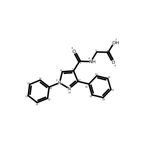 O=C(O)CNC(=O)c1cn(-c2ccccc2)nc1-c1ccccc1